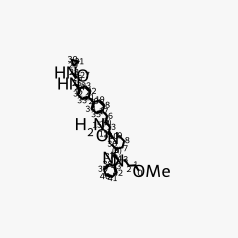 COCCCn1c([C@@H]2CCCN(C(=O)C[C@H](N)Cc3ccc(-c4ccc(NC(=O)NC5CC5)cc4)cc3)C2)nc2ccccc21